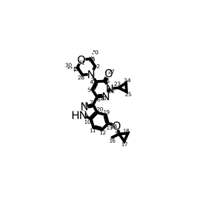 C[C@@H]1CN(c2cc(-c3n[nH]c4ccc(OC5(C)CC5)cc34)nn(C3CC3)c2=O)C[C@H](C)O1